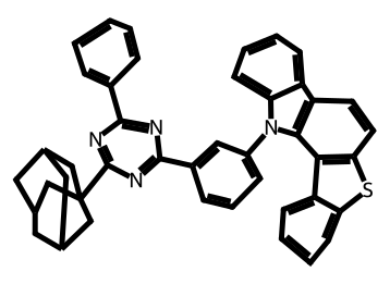 c1ccc(-c2nc(-c3cccc(-n4c5ccccc5c5ccc6sc7ccccc7c6c54)c3)nc(C34CC5CC(CC(C5)C3)C4)n2)cc1